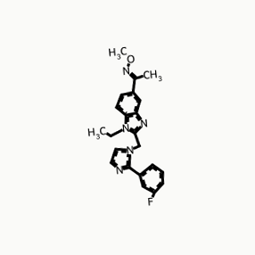 CCn1c(Cn2ccnc2-c2cccc(F)c2)nc2cc(C(C)=NOC)ccc21